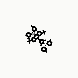 Cc1cccc(N(c2cccc(C)c2)c2c(C)cc(-c3c4cc(C(C)(C)C)ccc4c(N(c4cccc(C)c4)c4cccc(C)c4)c4cc(C(C)(C)C)ccc34)cc2C)c1